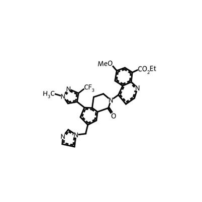 CCOC(=O)c1cc(OC)cc2c(N3CCc4c(cc(Cn5ccnc5)cc4-c4cn(C)nc4C(F)(F)F)C3=O)ccnc12